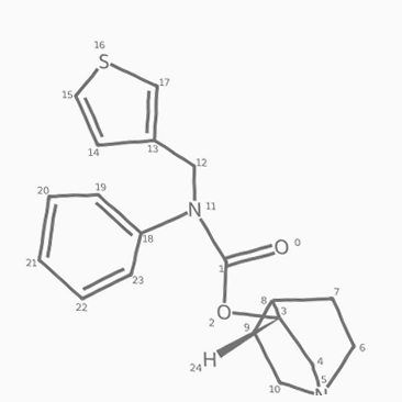 O=C(O[C@H]1CN2CCC1CC2)N(Cc1ccsc1)c1ccccc1